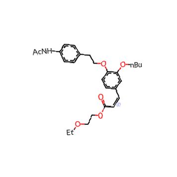 CCCCOc1cc(/C=C\C(=O)OCCOCC)ccc1OCCc1ccc(NC(C)=O)cc1